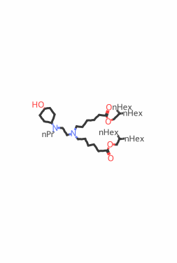 CCCCCCC(CCCCCC)COC(=O)CCCCCN(CCCCCC(=O)OCC(CCCCCC)CCCCCC)CCN(CCC)C1CCC(O)CC1